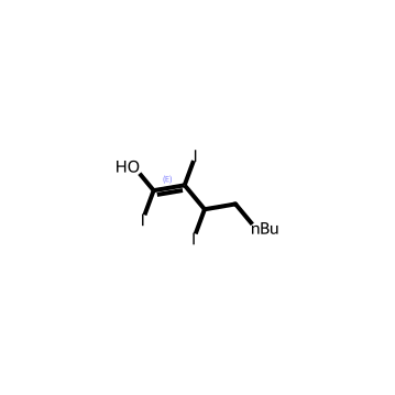 CCCCCC(I)/C(I)=C(/O)I